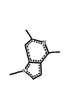 Cc1cc2c(ccn2C)c(C)n1